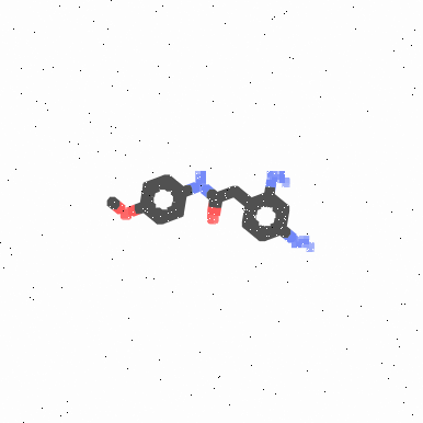 COc1ccc(NC(=O)Cc2ccc(N)cc2N)cc1